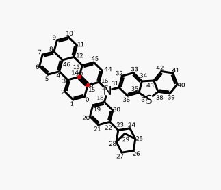 c1ccc(-c2cccc3cccc(-c4ccc(N(c5cccc(C6CC7CCC6C7)c5)c5ccc6c(c5)sc5ccccc56)cc4)c23)cc1